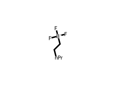 CCCCC[B-](F)(F)F